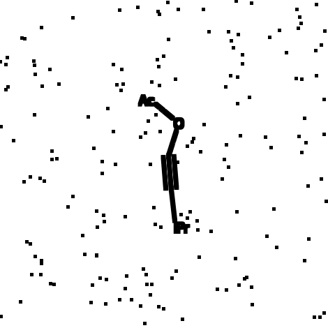 CC(=O)OC#CC(C)C